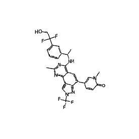 Cc1nc(NC(C)c2cccc(C(F)(F)CO)c2)c2cc(-c3ccc(=O)n(C)c3)c3nn(C(F)(F)F)cc3c2n1